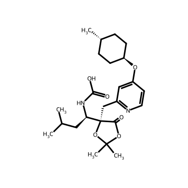 CC(C)C[C@@H](NC(=O)O)[C@]1(Cc2cc(O[C@H]3CC[C@H](C)CC3)ccn2)OC(C)(C)OC1=O